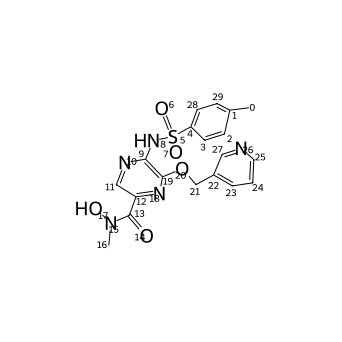 Cc1ccc(S(=O)(=O)Nc2ncc(C(=O)N(C)O)nc2OCc2cccnc2)cc1